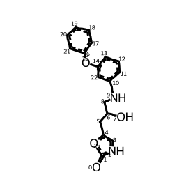 O=c1[nH]cc(CC(O)CNc2cccc(Oc3ccccc3)c2)o1